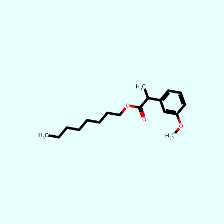 CCCCCCCCOC(=O)C(C)c1cccc(OC)c1